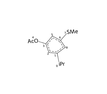 [CH2]C(C)c1cc(OC(C)=O)cc(SC)c1